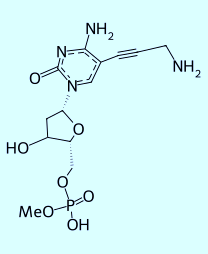 COP(=O)(O)OC[C@H]1O[C@@H](n2cc(C#CCN)c(N)nc2=O)CC1O